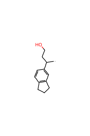 [CH2]C(CCO)c1ccc2c(c1)CCC2